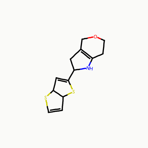 C1=CC2SC(C3CC4=C(CCOC4)N3)=CC2S1